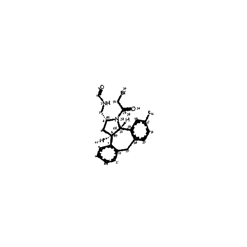 O=CNC[C@H]1C[C@@H]2c3ccccc3Cc3ccc(F)cc3[C@H]2N1C(=O)CBr